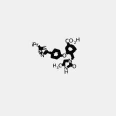 CC1CN(Cc2ccc(C(=O)O)cc2Oc2ccc(-c3nnc(C(C)C)s3)cc2)C(=O)N1